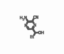 CCC(O)c1cnc(N)c(C#N)n1